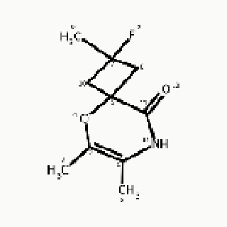 CC1=C(C)OC2(CC(C)(F)C2)C(=O)N1